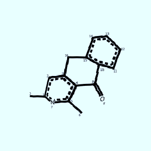 Cc1cc2c(c(C)n1)C(=O)c1ccccc1C2